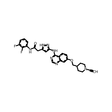 C#CN1CCC(COc2ccc3c(Nc4cc(CC(=O)Nc5cccc(F)c5F)[nH]n4)ncnc3c2)CC1